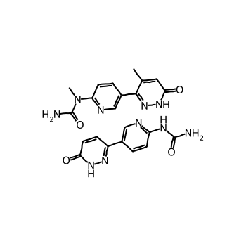 Cc1cc(=O)[nH]nc1-c1ccc(N(C)C(N)=O)nc1.NC(=O)Nc1ccc(-c2ccc(=O)[nH]n2)cn1